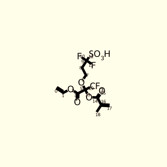 C=COC(=O)C(OCCC(F)(F)S(=O)(=O)O)(OC(=O)C(=C)C)C(F)(F)F